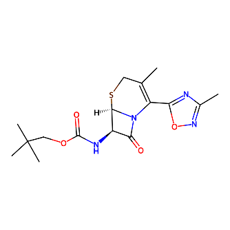 CC1=C(c2nc(C)no2)N2C(=O)[C@@H](NC(=O)OCC(C)(C)C)[C@H]2SC1